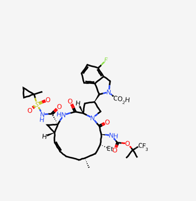 CC[C@@H]1C[C@H](C)CC/C=C\[C@@H]2C[C@@]2(C(=O)NS(=O)(=O)C2(C)CC2)NC(=O)[C@@H]2C[C@@H](C3c4cccc(F)c4CN3C(=O)O)CN2C(=O)[C@H]1NC(=O)OC(C)(C)C(F)(F)F